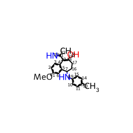 COc1ccc2c(c1)C(Nc1ccc(C)cc1)CCC(O)=C2C(C)=N